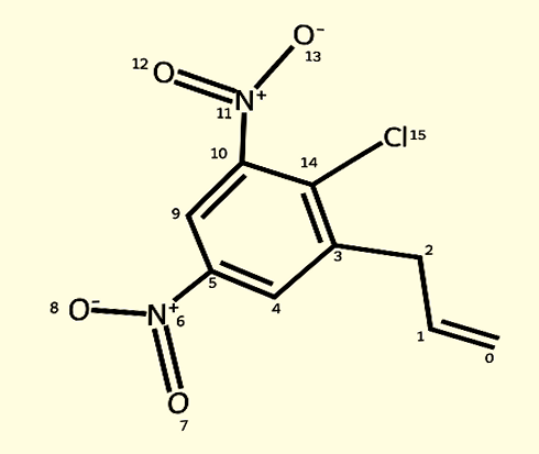 C=CCc1cc([N+](=O)[O-])cc([N+](=O)[O-])c1Cl